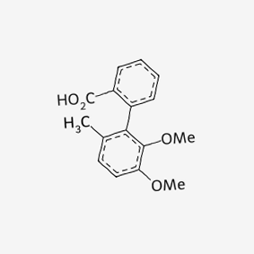 COc1ccc(C)c(-c2ccccc2C(=O)O)c1OC